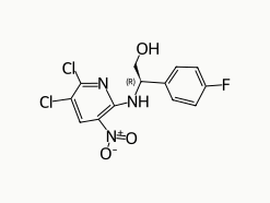 O=[N+]([O-])c1cc(Cl)c(Cl)nc1N[C@@H](CO)c1ccc(F)cc1